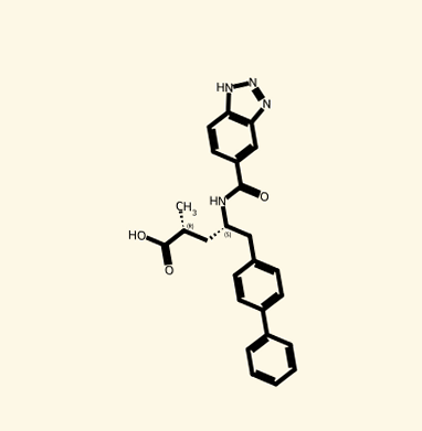 C[C@H](C[C@@H](Cc1ccc(-c2ccccc2)cc1)NC(=O)c1ccc2[nH]nnc2c1)C(=O)O